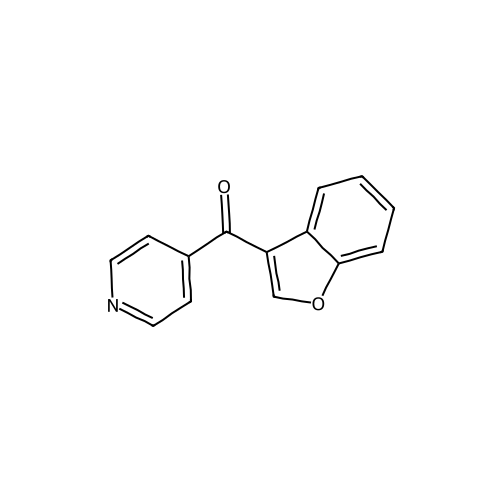 O=C(c1ccncc1)c1coc2ccccc12